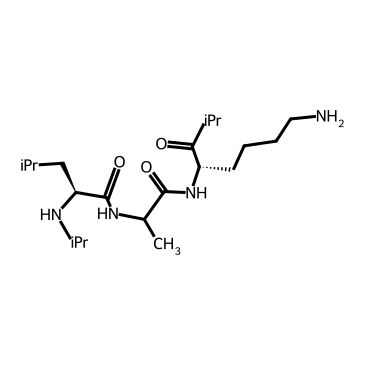 CC(C)C[C@H](NC(C)C)C(=O)NC(C)C(=O)N[C@@H](CCCCN)C(=O)C(C)C